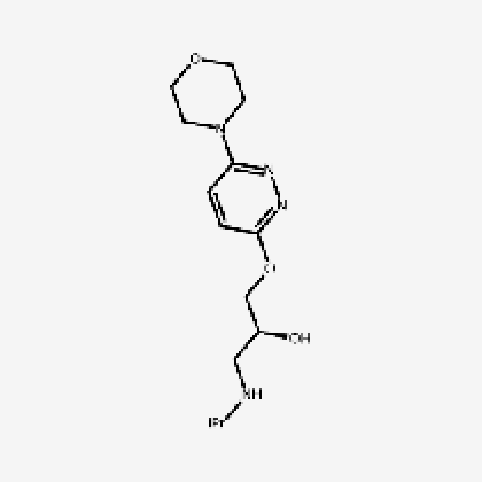 CC(C)NC[C@H](O)COc1ccc(N2CCOCC2)nn1